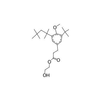 COc1c(C(C)(C)C)cc(CCC(=O)OCCO)cc1C(C)(C)CC(C)(C)C